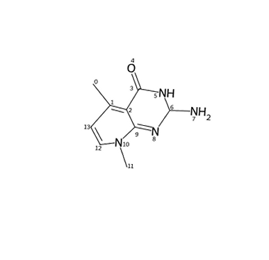 CC1=C2C(=O)NC(N)N=C2N(C)C=C1